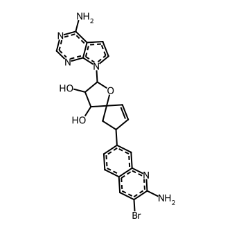 Nc1nc2cc(C3C=CC4(C3)OC(n3ccc5c(N)ncnc53)C(O)C4O)ccc2cc1Br